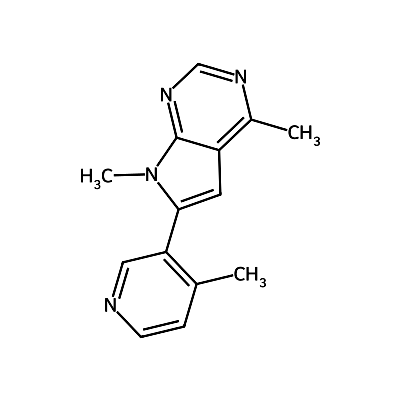 Cc1ccncc1-c1cc2c(C)ncnc2n1C